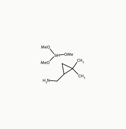 CC1(C)CC1CN.CO[SiH](OC)OC